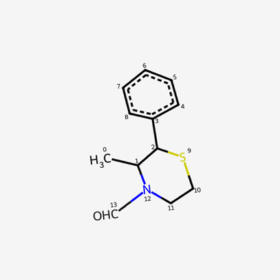 CC1C(c2ccccc2)SCCN1C=O